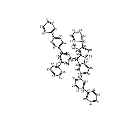 c1ccc(-c2ccc(-c3nc(-c4ccccc4)nc(-n4c5cc(-c6cccc(-c7ccccc7)c6)ccc5c5ccc6c7ccccc7oc6c54)n3)cc2)cc1